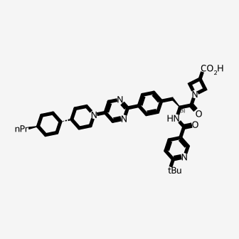 CCC[C@H]1CC[C@H](C2CCN(c3cnc(-c4ccc(C[C@H](NC(=O)c5ccc(C(C)(C)C)nc5)C(=O)N5CC(C(=O)O)C5)cc4)nc3)CC2)CC1